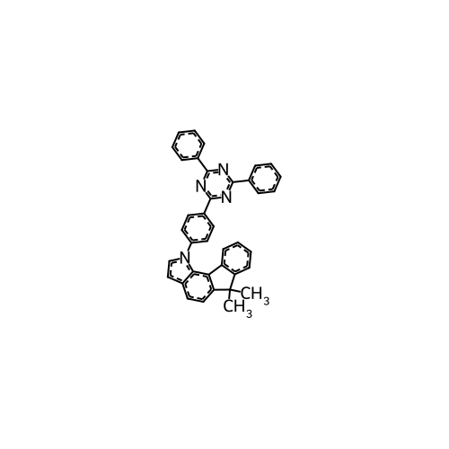 CC1(C)c2ccccc2-c2c1ccc1ccn(-c3ccc(-c4nc(-c5ccccc5)nc(-c5ccccc5)n4)cc3)c21